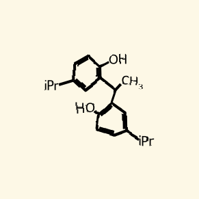 CC(C)c1ccc(O)c(C(C)c2cc(C(C)C)ccc2O)c1